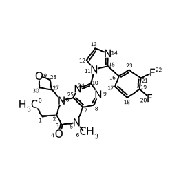 CC[C@@H]1C(=O)N(C)c2cnc(-n3ccnc3-c3ccc(F)c(F)c3)nc2N1C1COC1